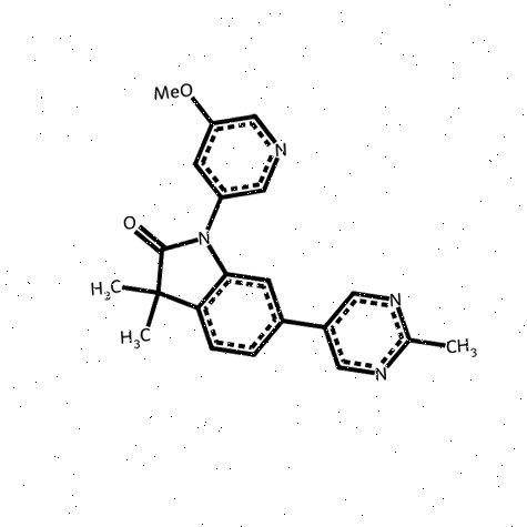 COc1cncc(N2C(=O)C(C)(C)c3ccc(-c4cnc(C)nc4)cc32)c1